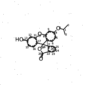 CC(C)Oc1ccc2c(c1)Oc1cc(O)ccc1C21OC(=O)c2ccccc21